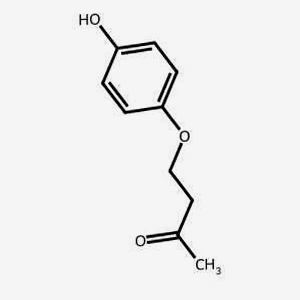 CC(=O)CCOc1ccc(O)cc1